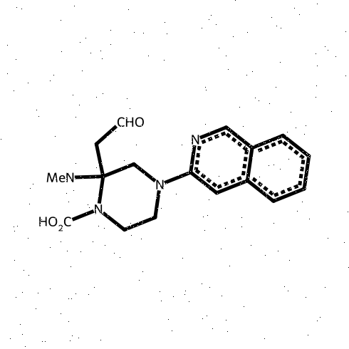 CNC1(CC=O)CN(c2cc3ccccc3cn2)CCN1C(=O)O